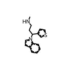 CNCCC(c1ccsc1)n1ccc2ccccc21